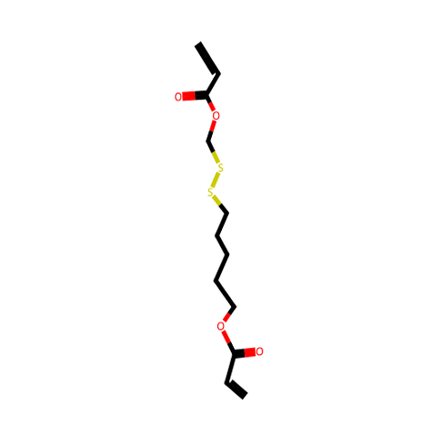 C=CC(=O)OCCCCCSSCOC(=O)C=C